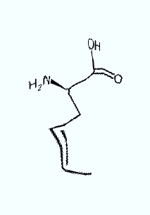 C/C=C\C[C@@H](N)C(=O)O